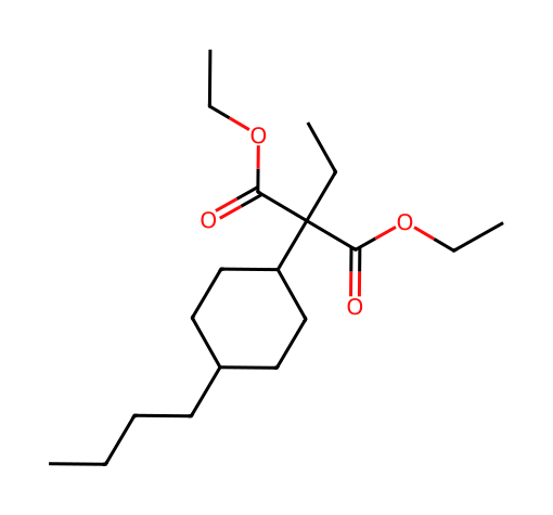 CCCCC1CCC(C(CC)(C(=O)OCC)C(=O)OCC)CC1